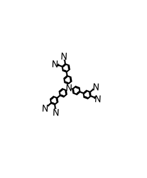 N#Cc1ccc(-c2ccc(N(c3ccc(-c4ccc(C#N)c(C#N)c4)cc3)c3ccc(-c4ccc(C#N)c(C#N)c4)cc3)cc2)cc1C#N